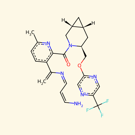 C=C(/N=C\C=C/N)c1ccc(C)nc1C(=O)N1C[C@@H]2C[C@@H]2C[C@H]1COc1cnc(C(F)(F)F)cn1